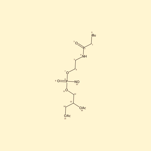 CCC(C)CC(=O)NCCOP(=O)(N=O)OCC(COC(C)=O)OC(C)=O